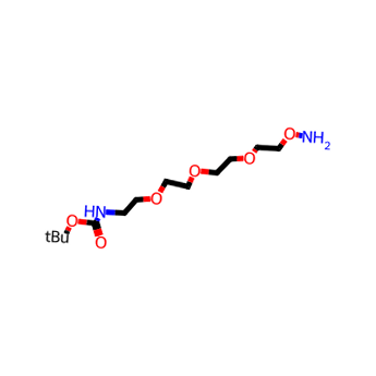 CC(C)(C)OC(=O)NCCOCCOCCOCCON